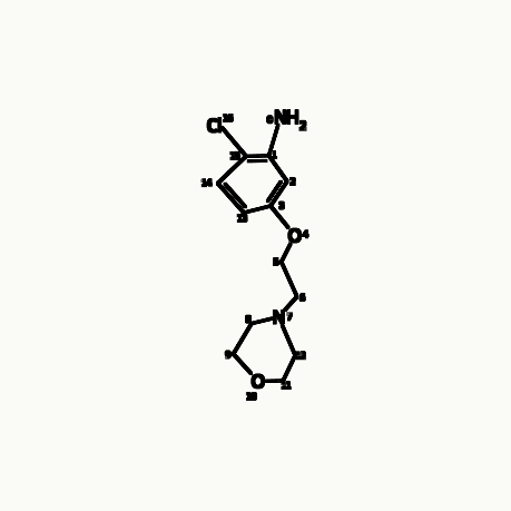 Nc1cc(OCCN2CCOCC2)ccc1Cl